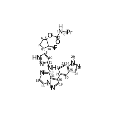 CC(C)NC(=O)O[C@H]1CC[C@@H](c2cc(Nc3nccn4ncc(-c5ccc6c(cnn6C)c5)c34)n[nH]2)[C@@H]1F